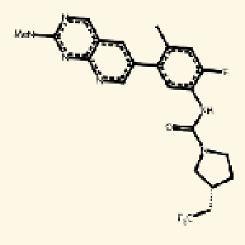 CNc1ncc2cc(-c3cc(NC(=O)N4CC[C@H](CC(F)(F)F)C4)c(F)cc3C)cnc2n1